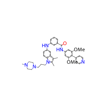 COc1cc(NC(=O)c2cccc(Nc3ccc4c(c3)c(C)c(C)n4CCCN3CCN(C)CC3)c2)cc(OC)c1-c1ccncc1